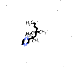 CCCCC(C)(C)CC(C)(C)c1cnccn1